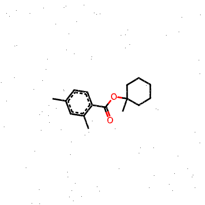 Cc1ccc(C(=O)OC2(C)CCCCC2)c(C)c1